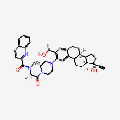 C#C[C@]1(O)CCC2[C@@H]3CCc4cc(C(C)O)c(N5CCN(C(=O)[C@H](C)N(CCC)C(=O)c6ccc7ccccc7n6)CC5)cc4C3CC[C@@]21C